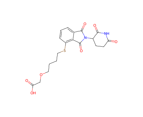 O=C(O)COCCCCSc1cccc2c1C(=O)N(C1CCC(=O)NC1=O)C2=O